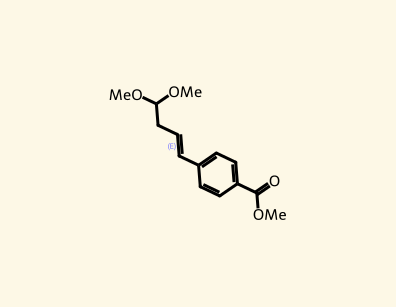 COC(=O)c1ccc(/C=C/CC(OC)OC)cc1